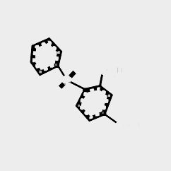 O=C(O)c1ccc(S(=O)(=O)c2ccccc2)c(C(=O)O)c1